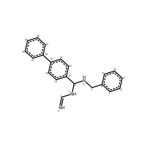 N=CNC(NCc1ccccc1)c1ccc(-c2ccccc2)cc1